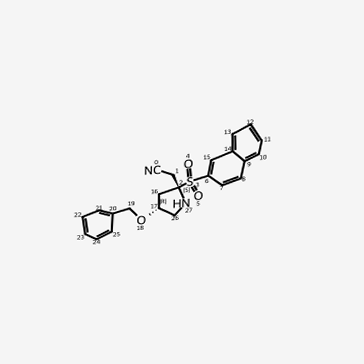 N#CC[C@]1(S(=O)(=O)c2ccc3ccccc3c2)C[C@@H](OCc2ccccc2)CN1